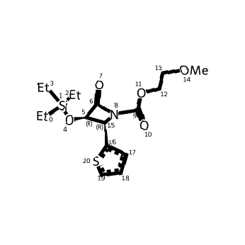 CC[Si](CC)(CC)O[C@H]1C(=O)N(C(=O)OCCOC)[C@H]1c1cccs1